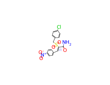 NC(=O)/C(=C/c1ccc([N+](=O)[O-])cc1)S(=O)(=O)Cc1ccc(Cl)cc1